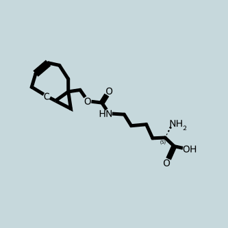 N[C@@H](CCCCNC(=O)OCC12CCC#CCCC1C2)C(=O)O